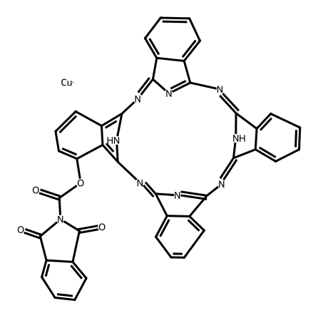 O=C(Oc1cccc2c3nc4nc(nc5[nH]c(nc6nc(nc([nH]3)c12)-c1ccccc1-6)c1ccccc51)-c1ccccc1-4)N1C(=O)c2ccccc2C1=O.[Cu]